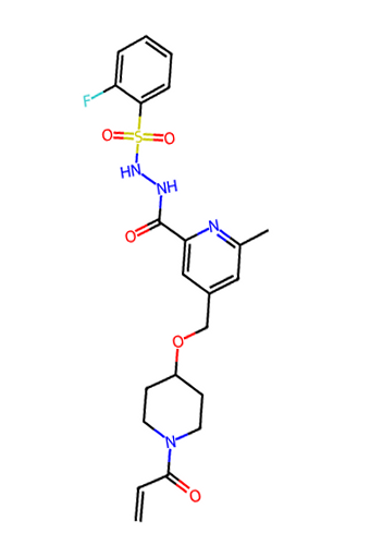 C=CC(=O)N1CCC(OCc2cc(C)nc(C(=O)NNS(=O)(=O)c3ccccc3F)c2)CC1